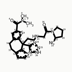 CN(C)C(=O)c1cc2c(s1)C(CCNCC(=O)N1CCCC1C#N)(c1nn[nH]n1)c1sccc1CC2